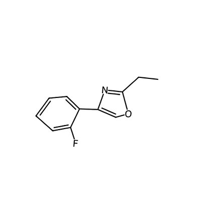 CCc1nc(-c2ccccc2F)co1